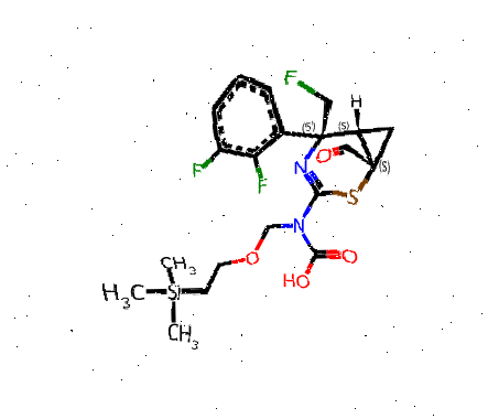 C[Si](C)(C)CCOCN(C(=O)O)C1=N[C@](CF)(c2cccc(F)c2F)[C@@H]2C[C@]2(C=O)S1